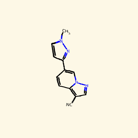 Cn1ccc(-c2ccc3c(C#N)cnn3c2)n1